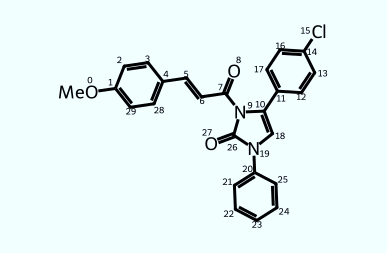 COc1ccc(C=CC(=O)n2c(-c3ccc(Cl)cc3)cn(-c3ccccc3)c2=O)cc1